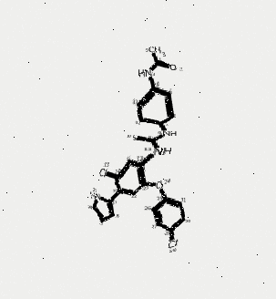 CC(=O)Nc1ccc(NC(=S)Nc2cc(Cl)c(-c3ccc[nH]3)cc2Oc2ccc(Cl)cc2)cc1